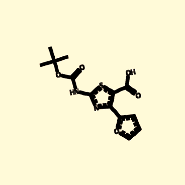 CC(C)(C)OC(=O)Nc1nc(-c2ccco2)c(C(=O)O)s1